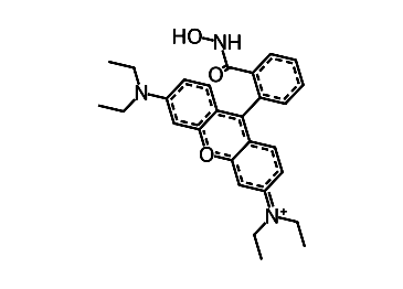 CCN(CC)c1ccc2c(-c3ccccc3C(=O)NO)c3ccc(=[N+](CC)CC)cc-3oc2c1